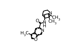 Cc1coc2cnc(C(=O)NC3C4CCN(CC4)C3(C)C)cc12